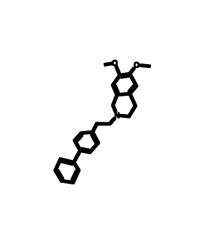 COc1cc2c(cc1OC)CN(CCc1ccc(-c3ccccc3)cc1)CC2